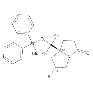 [2H]C([2H])(O[Si](c1ccccc1)(c1ccccc1)C(C)(C)C)[C@@]12CCC(=O)N1C[C@H](F)C2